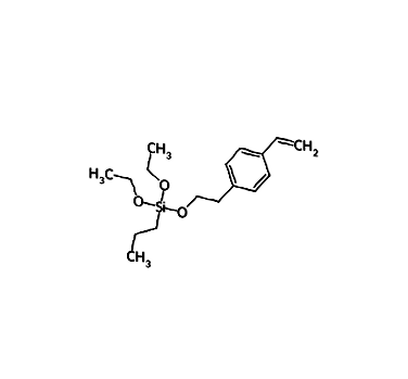 C=Cc1ccc(CCO[Si](CCC)(OCC)OCC)cc1